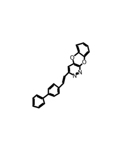 C(=C\c1cc2c(nn1)Oc1ccccc1O2)/c1ccc(-c2ccccc2)cc1